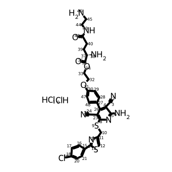 Cl.Cl.N#Cc1c(N)nc(SCc2csc(-c3ccc(Cl)cc3)n2)c(C#N)c1-c1ccc(OCCOC(=O)[C@@H](N)CCC(=O)NCCN)cc1